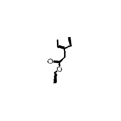 C=COC(=O)CC(C=C)=CC